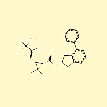 CC1(C)[C@H](C(=O)O[C@H]2Cc3cccc(-c4ccccc4)c3C2)[C@@H]1C=C(Cl)C(F)(F)F